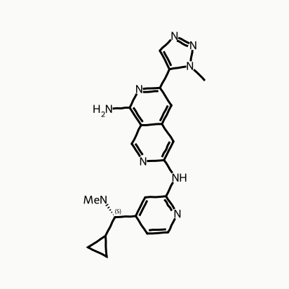 CN[C@H](c1ccnc(Nc2cc3cc(-c4cnnn4C)nc(N)c3cn2)c1)C1CC1